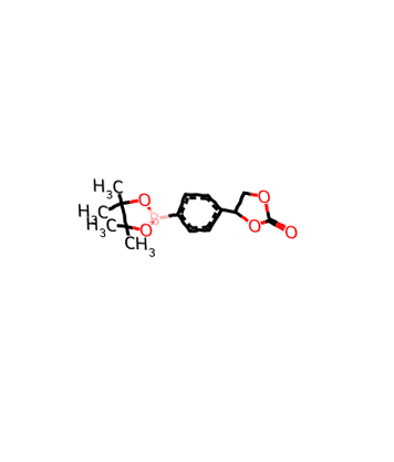 CC1(C)OB(c2ccc(C3COC(=O)O3)cc2)OC1(C)C